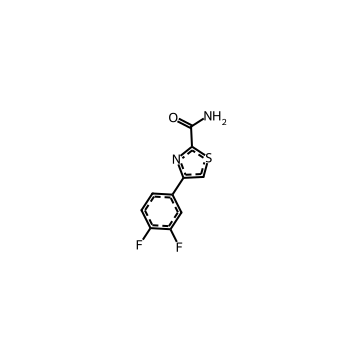 NC(=O)c1nc(-c2ccc(F)c(F)c2)cs1